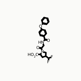 O=C(NCC(=O)N1CC(C(F)F)CC1C(=O)O)c1ccc(Oc2ccccc2)cc1